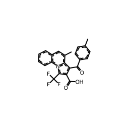 Cc1ccc(C(=O)c2c(C(=O)O)c(C(F)(F)F)n3c2c(C)cc2ccccc23)cc1